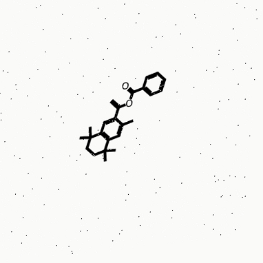 C=C(OC(=O)c1ccccc1)c1cc2c(cc1C)C(C)(C)CCC2(C)C